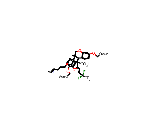 C/C=C/CCCCCCC(C(=O)O)(C(=O)CCC(F)(F)C(F)(F)F)C1c2ccc(OCOC)cc2OCC1(C)c1ccc(OCOC)cc1